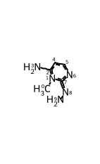 Cn1c(N)ccnc1=NN